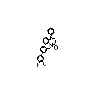 O=C1CCN(c2ccccc2)c2ccccc2N1Cc1cccc(-c2ccc(F)c(Cl)c2)c1